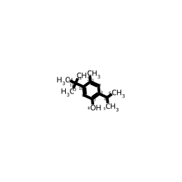 Cc1cc(C(C)C)c(O)cc1C(C)(C)C